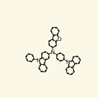 c1ccc(-n2c3ccccc3c3cc(N(c4ccc(-n5c6ccccc6c6ccccc65)cc4)c4ccc5c(c4)oc4ccccc45)ccc32)cc1